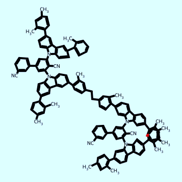 Cc1ccc(-c2ccc3c(c2)c2cc(-c4ccccc4C)ccc2n3-c2cc(-c3cccc(C#N)c3)cc(-n3c4ccc(-c5ccc(C)cc5C)cc4c4cc(-c5ccc(CCc6ccc(-c7ccc8c9ccc(-c%10ccc(C)cc%10C)cc9n(-c9cc(-c%10cccc(C#N)c%10)cc(-n%10c%11cc(-c%12ccc(C)cc%12C)ccc%11c%11ccc(-c%12ccc(C)cc%12C)cc%11%10)c9C#N)c8c7)c(C)c6)cc5C)ccc43)c2C#N)c(C)c1